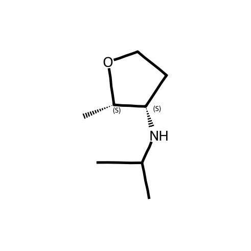 CC(C)N[C@H]1CCO[C@H]1C